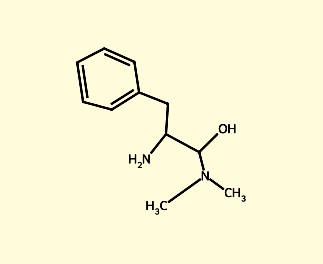 CN(C)C(O)C(N)Cc1ccccc1